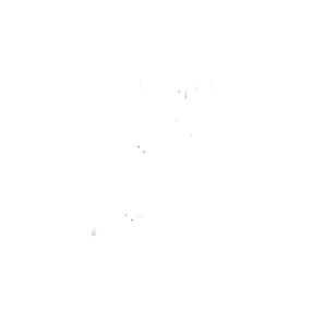 CC(C)NC1CCN(CC(=O)N(C)C)CC1